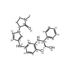 CN1CCC(n2cc(Nc3ncc(Cl)c(N[C@H](CO)c4ccccc4)n3)cn2)C1=O